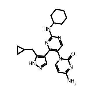 Nc1ccn(-c2cnc(NC3CCCCC3)nc2-c2cn[nH]c2CC2CC2)c(=O)n1